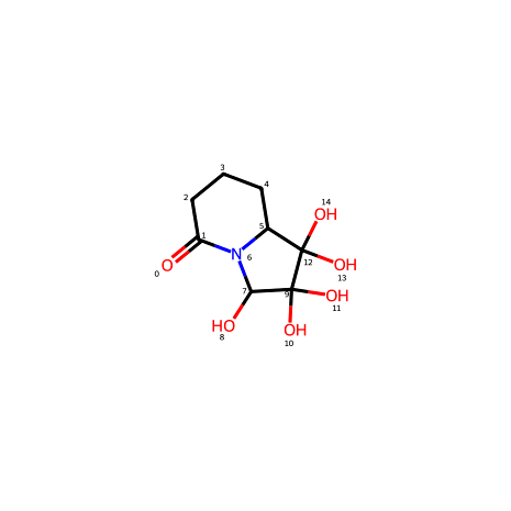 O=C1CCCC2N1C(O)C(O)(O)C2(O)O